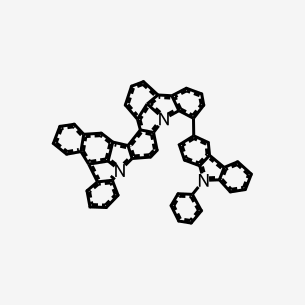 c1ccc(-n2c3ccccc3c3cc(-c4cccc5c6cccc7c8c9c%10cc%11ccccc%11c%11c%12ccccc%12n(c9ccc8n(c45)c67)c%10%11)ccc32)cc1